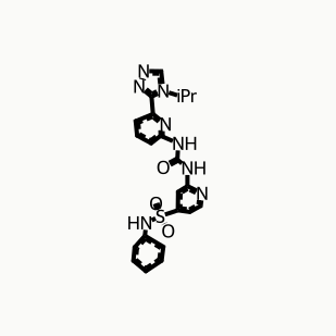 CC(C)n1cnnc1-c1cccc(NC(=O)Nc2cc(S(=O)(=O)Nc3ccccc3)ccn2)n1